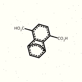 O=C(O)c1ccc(C(=O)O)c2c3ccc(cc3)c12